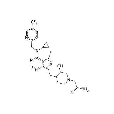 NC(=O)CN1CCC(Cn2cc(F)c3c(N(Cc4ccc(C(F)(F)F)cn4)C4CC4)ncnc32)[C@@H](O)C1